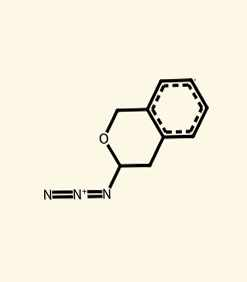 [N-]=[N+]=NC1Cc2cc[c]cc2CO1